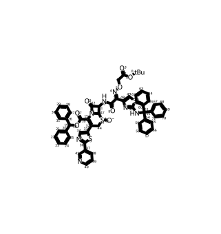 CC(C)(C)OC(=O)CON=C(C(=O)NC1C(=O)N2C(C(=O)OC(c3ccccc3)c3ccccc3)=C(c3cnc(-c4cccnc4)s3)C[S+]([O-])C12)c1csc(NC(c2ccccc2)(c2ccccc2)c2ccccc2)n1